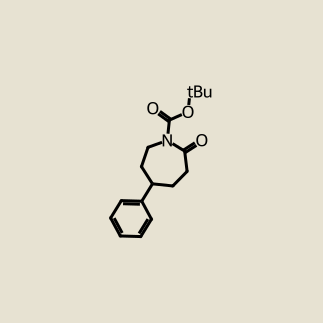 CC(C)(C)OC(=O)N1CCC(c2ccccc2)CCC1=O